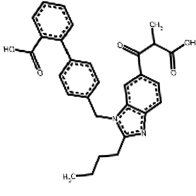 CCCCc1nc2ccc(C(=O)C(C)C(=O)O)cc2n1Cc1ccc(-c2ccccc2C(=O)O)cc1